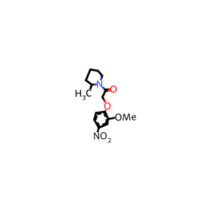 COc1cc([N+](=O)[O-])ccc1OCC(=O)N1CCCCC1C